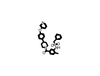 Cc1ccc(C(=O)N2CCC(c3ccc(Oc4cccnc4)cc3)CC2)cc1NS(=O)(=O)Cc1ccccc1